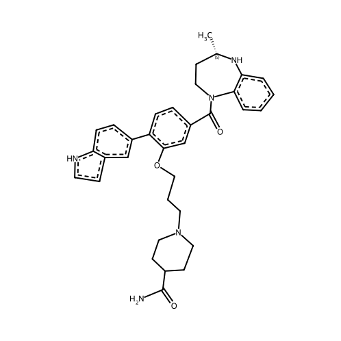 C[C@H]1CCN(C(=O)c2ccc(-c3ccc4[nH]ccc4c3)c(OCCCN3CCC(C(N)=O)CC3)c2)c2ccccc2N1